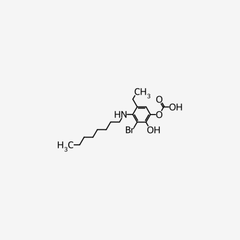 CCCCCCCCNc1c(CC)cc(OC(=O)O)c(O)c1Br